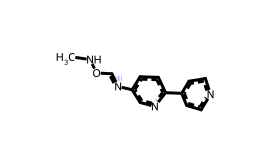 CNO/C=N/c1ccc(-c2ccncc2)nc1